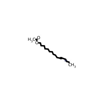 CC/C=C/C#CCCCCCCCCCCOC(C)=O